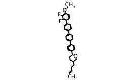 C/C=C/CCC1CCC(c2ccc(-c3ccc(-c4ccc(-c5ccc(OCC)c(F)c5F)cc4)cc3)cc2)OC1